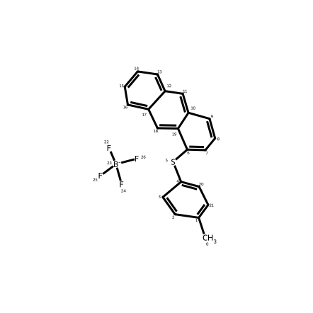 Cc1ccc(Sc2cccc3cc4ccccc4cc23)cc1.F[B-](F)(F)F